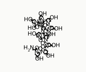 NCC(=O)N1C[C@H](O)C[C@H]1C(=O)N1C[C@H](O)C[C@H]1C(=O)N1C[C@H](O)C[C@H]1C(=O)N1C[C@H](O)C[C@H]1C(=O)N1C[C@H](O)C[C@H]1C(=O)N1C[C@H](O)C[C@H]1C(=O)N1C[C@H](O)C[C@H]1C(=O)N1C[C@H](O)C[C@H]1C(=O)N1C[C@H](O)C[C@H]1C(=O)N1C[C@H](O)C[C@H]1C(=O)O